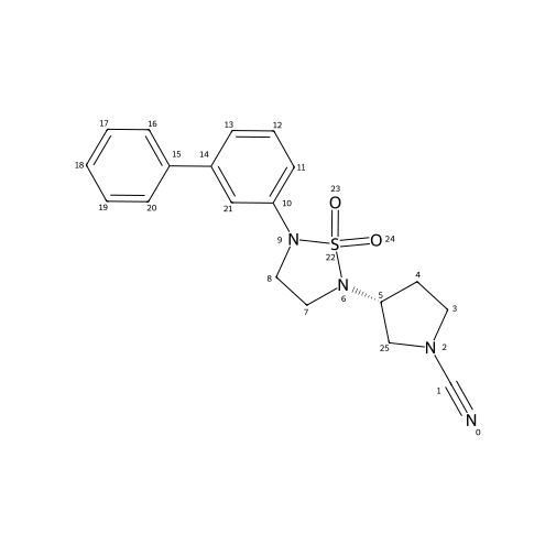 N#CN1CC[C@@H](N2CCN(c3cccc(-c4ccccc4)c3)S2(=O)=O)C1